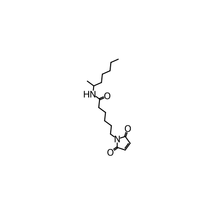 CCCCCC(C)NC(=O)CCCCCN1C(=O)C=CC1=O